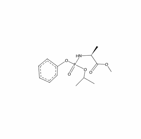 COC(=O)[C@H](C)NP(=O)(Oc1ccccc1)OC(C)C